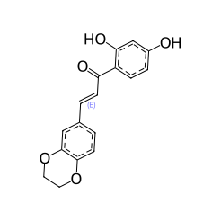 O=C(/C=C/c1ccc2c(c1)OCCO2)c1ccc(O)cc1O